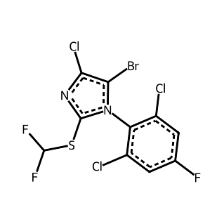 Fc1cc(Cl)c(-n2c(SC(F)F)nc(Cl)c2Br)c(Cl)c1